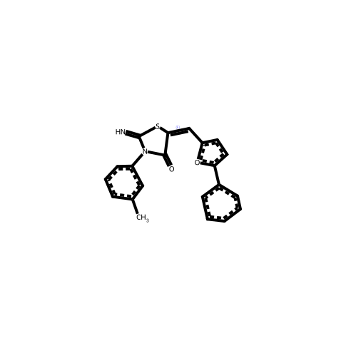 Cc1cccc(N2C(=N)S/C(=C/c3ccc(-c4ccccc4)o3)C2=O)c1